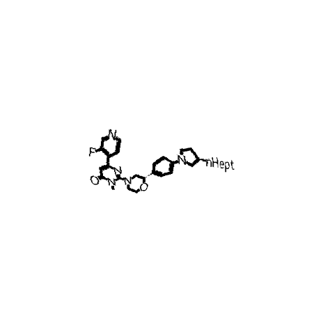 CCCCCCC[C@@H]1CCN(c2ccc([C@H]3CN(c4nc(-c5ccncc5F)cc(=O)n4C)CCO3)cc2)C1